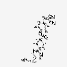 CCCCCc1cnc(-c2ccc(C(=O)Oc3ccc(C=C(C#N)C#N)cc3)cc2)nc1